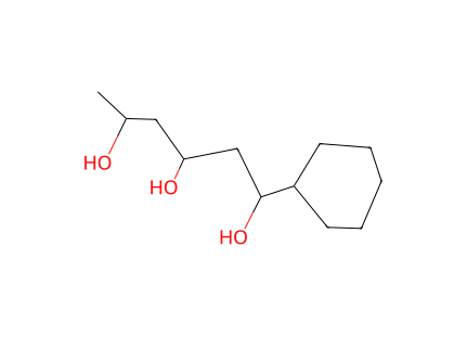 CC(O)CC(O)CC(O)C1CCCCC1